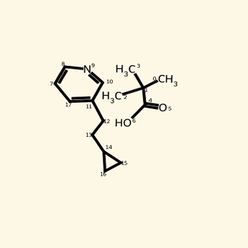 CC(C)(C)C(=O)O.c1cncc(CCC2CC2)c1